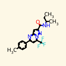 CCC(C)NC(=O)c1cc2nc(-c3ccc(C)cc3)cc(C(F)(F)F)n2n1